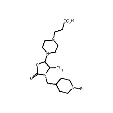 CCN1CCC(CN2C(=O)OC(N3CCN(CCC(=O)O)CC3)C2C)CC1